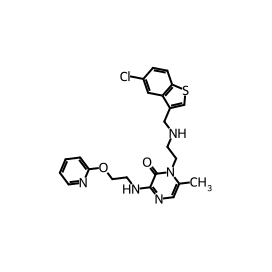 Cc1cnc(NCCOc2ccccn2)c(=O)n1CCNCc1csc2ccc(Cl)cc12